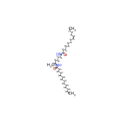 CCCC/C=C\CCCCCCCC(=O)NCCCC[C@@H](C)NC(=O)CCCCCCCCCCCCC